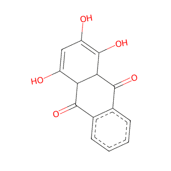 O=C1c2ccccc2C(=O)C2C(O)=C(O)C=C(O)C12